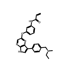 C=CC(=O)Nc1cccc(Oc2cnc3[nH]cc(-c4ccc(CN(C)CC)cc4)c3n2)c1